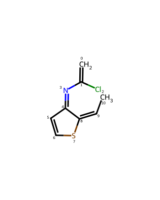 C=C(Cl)/N=C1/C=CS/C1=C/C